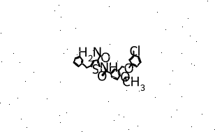 COc1ccc(C(=O)Nc2sc(Cc3ccccc3)cc2C(N)=O)cc1COc1cccc(Cl)c1